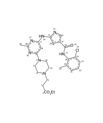 CCOC(=O)CCN1CCN(c2cc(Nc3ncc(C(=O)Nc4c(C)cccc4Cl)s3)nc(C)n2)CC1